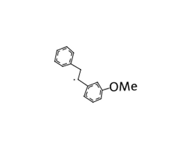 COc1cccc([CH]Cc2ccccc2)c1